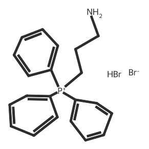 Br.NCCC[P+](c1ccccc1)(c1ccccc1)c1ccccc1.[Br-]